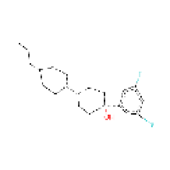 CCCC1CCC([C@H]2CC[C@](O)(c3cc(F)cc(F)c3)CC2)CC1